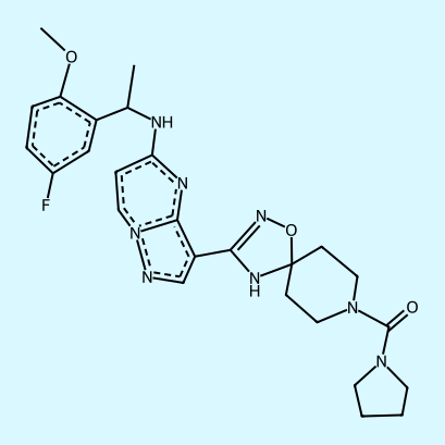 COc1ccc(F)cc1C(C)Nc1ccn2ncc(C3=NOC4(CCN(C(=O)N5CCCC5)CC4)N3)c2n1